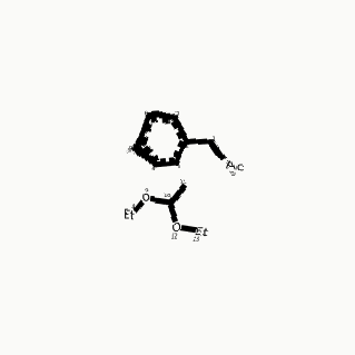 CC(=O)Cc1ccccc1.CCOC(C)OCC